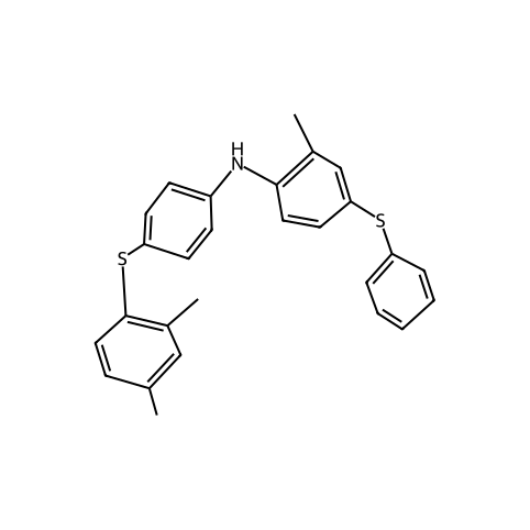 Cc1ccc(Sc2ccc(Nc3ccc(Sc4ccccc4)cc3C)cc2)c(C)c1